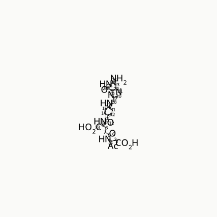 CC(=O)[C@H](CC(=O)O)NC(=O)CC[C@H](NC(=O)c1ccc(NCc2cnc3cc(N)[nH]c(=O)c3n2)cc1)C(=O)O